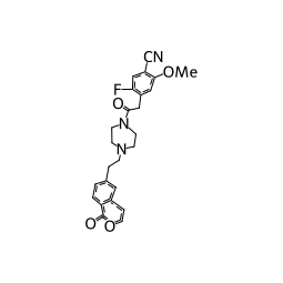 COc1cc(CC(=O)N2CCN(CCc3ccc4c(=O)occc4c3)CC2)c(F)cc1C#N